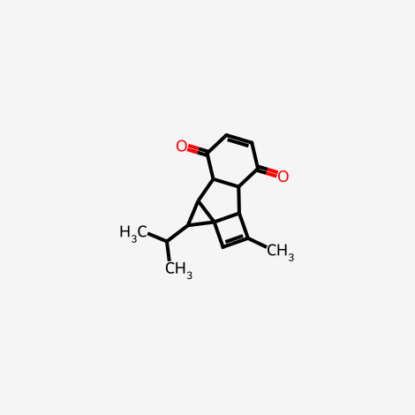 CC1=CC23C1C1C(=O)C=CC(=O)C1C2C3C(C)C